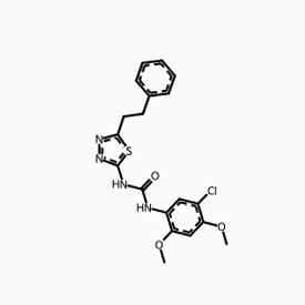 COc1cc(OC)c(NC(=O)Nc2nnc(CCc3ccccc3)s2)cc1Cl